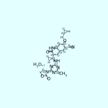 CC[C@H]1COC(=O)N1c1nc(C)nc(NC2(c3cc4cc(C#N)c(OCC5CC5)cc4[nH]c3=O)CC2)n1